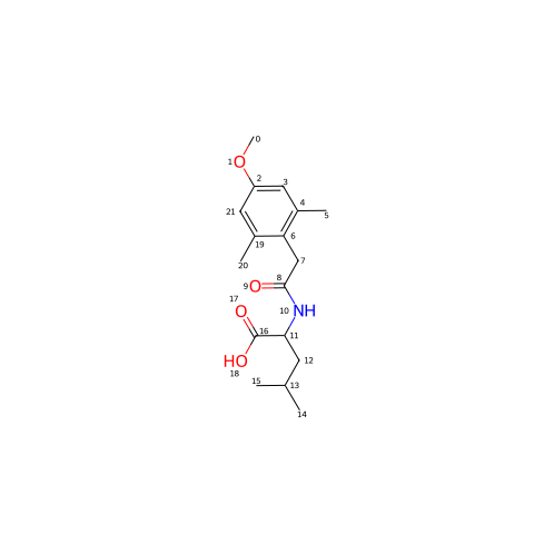 COc1cc(C)c(CC(=O)NC(CC(C)C)C(=O)O)c(C)c1